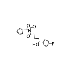 O=C(CCC[C@H](O)c1ccc(F)cc1)N1C(=O)O[C@H]1c1ccccc1